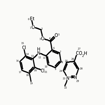 CCOCOC(=O)c1ccccc1Nc1c(Cl)ccc(C)c1Cl.C[n+]1ccc(C(=O)O)cn1